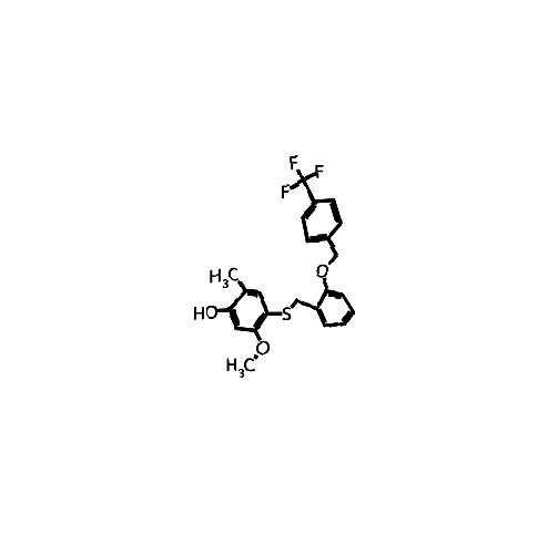 COc1cc(O)c(C)cc1SCc1ccccc1OCc1ccc(C(F)(F)F)cc1